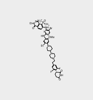 CCc1cc(Nc2ncc(Br)c(Nc3ccc4c(=O)n(CC)ncc4c3P(C)(C)=O)n2)c(OC)cc1N1CCC(N2CCN(CCc3cc(F)c([C@H]4CCC(=O)NC4=O)c(F)c3)CC2)CC1